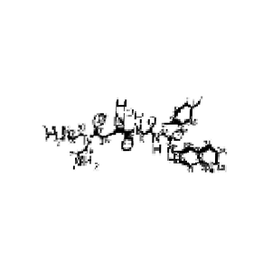 Cc1ccc(C[C@@H](NC(=O)CNC(=O)[C@@H](N)CC(=O)N(CCN)CCN)C(=O)Nc2ccc3ncccc3c2)cc1